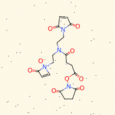 O=C(CCC(=O)N(CCN1C(=O)C=CC1=O)CC[N+]1([O-])C=CC1=O)ON1C(=O)CCC1=O